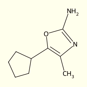 Cc1nc(N)oc1C1CCCC1